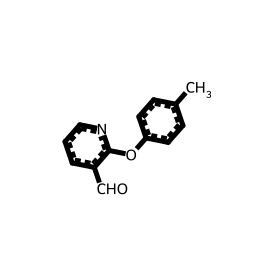 Cc1ccc(Oc2ncccc2C=O)cc1